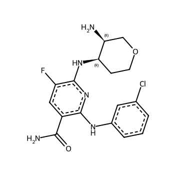 NC(=O)c1cc(F)c(N[C@@H]2CCOC[C@@H]2N)nc1Nc1cccc(Cl)c1